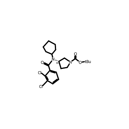 CC(C)(C)OC(=O)N1CC[C@H](N(C(=O)c2cccc(Cl)c2Cl)C2CCCCC2)C1